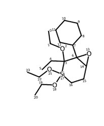 CCOC1(CC)C2(C3CCCCC3)OC2CC[Si]1(OCC)OCC